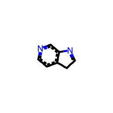 C1=Nc2cnccc2C1